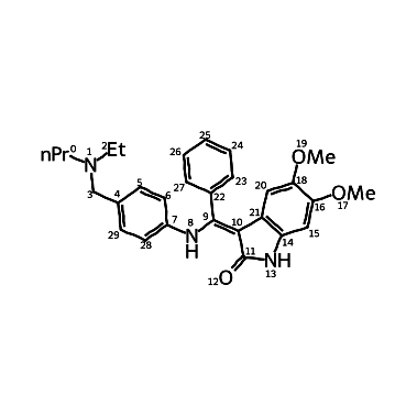 CCCN(CC)Cc1ccc(N/C(=C2\C(=O)Nc3cc(OC)c(OC)cc32)c2ccccc2)cc1